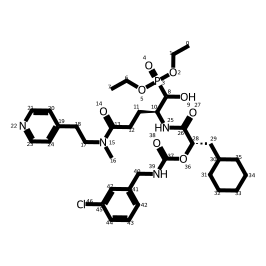 CCOP(=O)(OCC)C(O)[C@H](CCC(=O)N(C)CCc1ccncc1)NC(=O)[C@H](CC1CCCCC1)OC(=O)NCc1cccc(Cl)c1